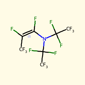 F/C(=C(\F)C(F)(F)F)N(C(F)(F)C(F)(F)F)C(F)(F)C(F)(F)F